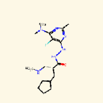 CON(C)c1nc(C)nc(NNC(=O)[C@@H](CNC(=O)O)CC2CCCC2)c1F